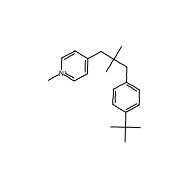 C[n+]1ccc(CC(C)(C)Cc2ccc(C(C)(C)C)cc2)cc1